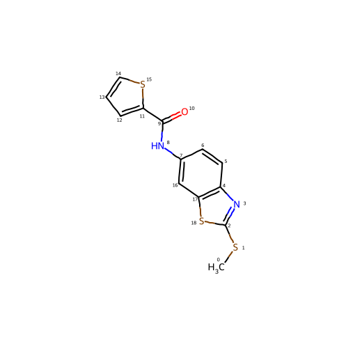 CSc1nc2ccc(NC(=O)c3cccs3)cc2s1